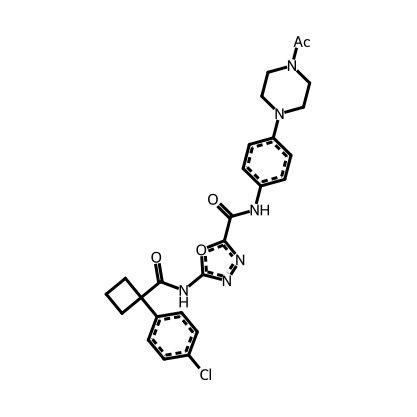 CC(=O)N1CCN(c2ccc(NC(=O)c3nnc(NC(=O)C4(c5ccc(Cl)cc5)CCC4)o3)cc2)CC1